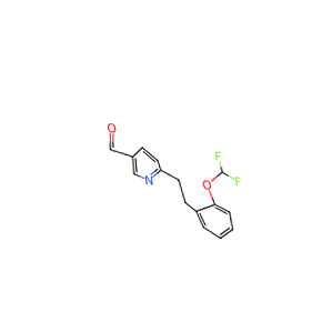 O=Cc1ccc(CCc2ccccc2OC(F)F)nc1